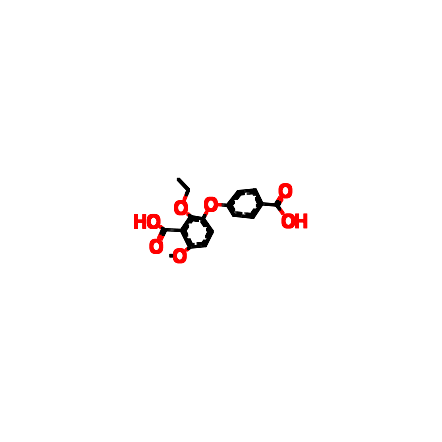 CCOc1c(Oc2ccc(C(=O)O)cc2)ccc([O])c1C(=O)O